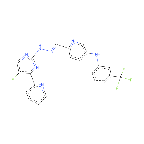 Fc1cnc(N/N=C/c2ccc(Nc3cccc(C(F)(F)F)c3)cn2)nc1-c1ccccn1